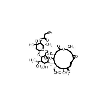 CO[C@@H]1[C@@H](O[C@@H]2O[C@H](C)[C@@H](O[C@H]3C[C@@](C)(O)[C@@H](OC(=O)CC(C)C)[C@H](C)O3)[C@H](N(C)C)[C@H]2O)[C@@H](CC=O)C[C@@H](C)C(=O)/C=C/C2OC2C[C@@H](C)OC(=O)C[C@H]1OC(C)=O